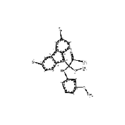 COc1cccc(NC(SC)(C(C)=O)n2c3ccc(Br)cc3c3cc(Br)ccc32)c1